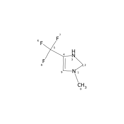 CN1[C]NC(C(F)(F)F)=C1